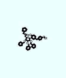 CCOc1ccc(Cc2ccc(OC)c([C@@H]3S[C@H](COCc4ccccc4)[C@@H](OCc4ccccc4)[C@H](OCc4ccccc4)[C@H]3OCc3ccccc3)c2)cc1